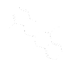 CN(C)c1ccccc1C(=O)NCc1c(F)cccc1Cl